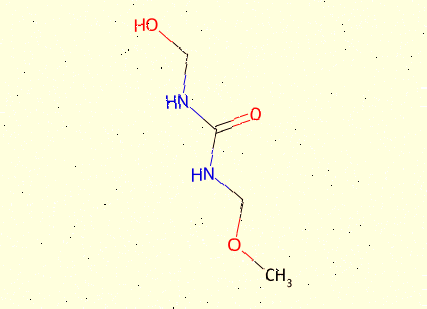 COCNC(=O)NCO